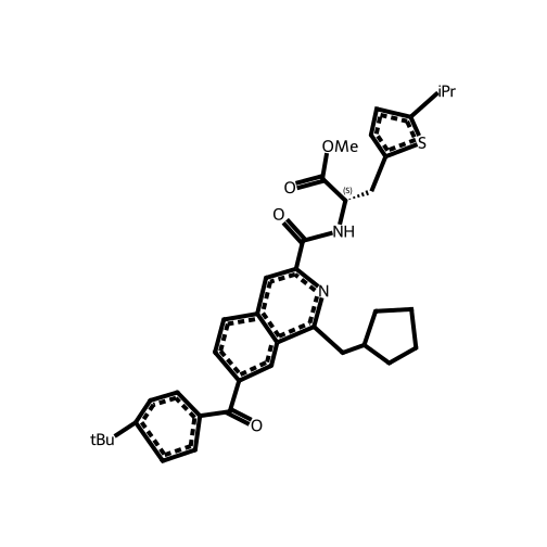 COC(=O)[C@H](Cc1ccc(C(C)C)s1)NC(=O)c1cc2ccc(C(=O)c3ccc(C(C)(C)C)cc3)cc2c(CC2CCCC2)n1